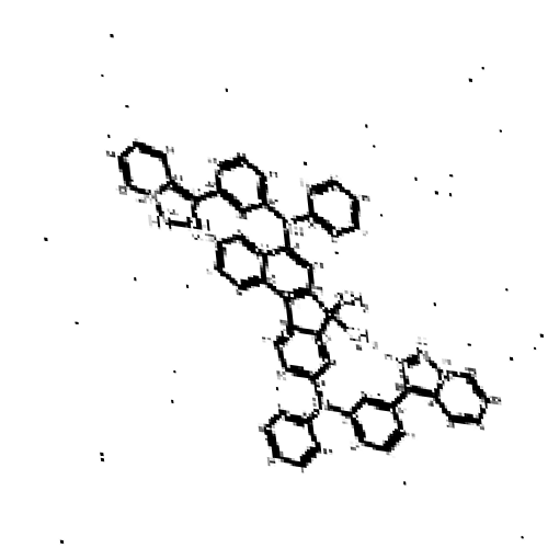 CC1(C)c2cc(N(c3ccccc3)c3cccc(-c4nnn5ccccc45)c3)ccc2-c2c1cc(N(c1ccccc1)c1cccc(C3=C4C=CC=CN4NN3)c1)c1ccccc21